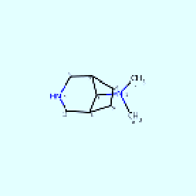 CN(C)C1C2CCC1CNC2